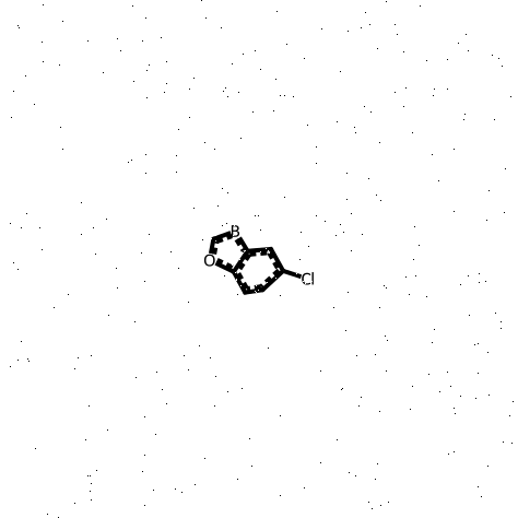 Clc1ccc2ocbc2c1